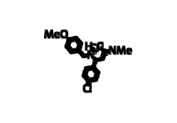 CNC(C)=CC(c1ccc(Cl)cc1)N(C)Cc1ccc(OC)cc1